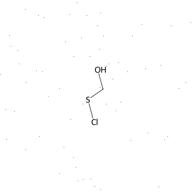 OCSCl